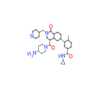 Cc1ccc(C(=O)NC2CC2)cc1-c1ccc2c(=O)n(Cc3ccncc3)cc(C(=O)N3CCC(N)CC3)c2c1